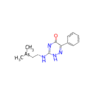 C[As](C)CCNc1nc(=O)c(-c2ccccc2)n[nH]1